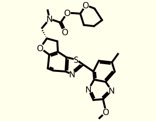 COc1cnc2c(-c3nc4ccc5c(c4s3)C[C@@H](CN(C)C(=O)OC3CCCCO3)O5)cc(C)cc2n1